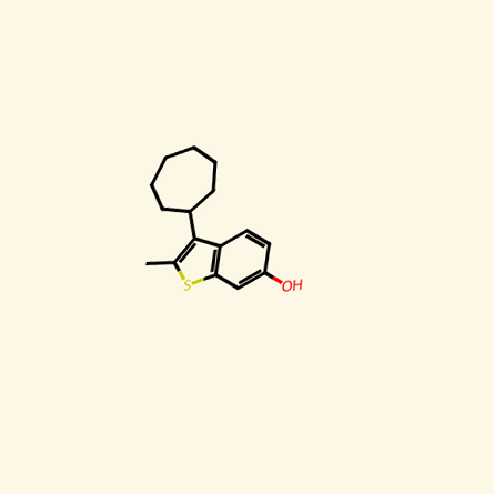 Cc1sc2cc(O)ccc2c1C1CCCCCC1